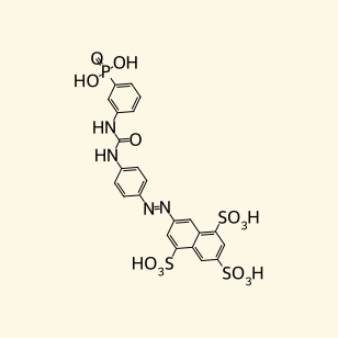 O=C(Nc1ccc(/N=N/c2cc(S(=O)(=O)O)c3cc(S(=O)(=O)O)cc(S(=O)(=O)O)c3c2)cc1)Nc1cccc(P(=O)(O)O)c1